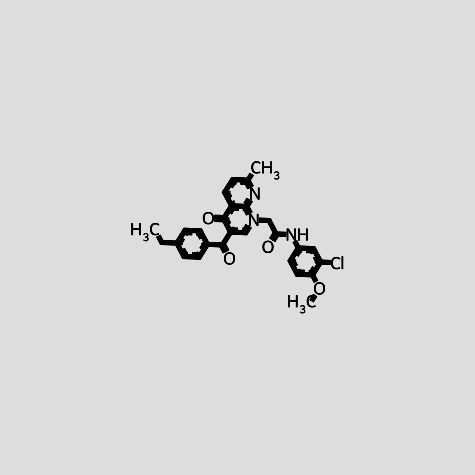 CCc1ccc(C(=O)c2cn(CC(=O)Nc3ccc(OC)c(Cl)c3)c3nc(C)ccc3c2=O)cc1